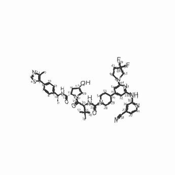 Cc1ncsc1-c1ccc([C@H](C)NC(=O)[C@@H]2C[C@@H](O)CN2C(=O)[C@@H](NC(=O)N2CCC(c3cc(Nc4cc(C#N)ccn4)nc(N4CCC(F)(F)C4)c3)CC2)C(C)(C)C)cc1